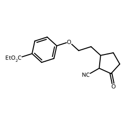 CCOC(=O)c1ccc(OCCC2CCC(=O)C2C#N)cc1